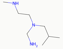 CNCCN(CN)CC(C)C